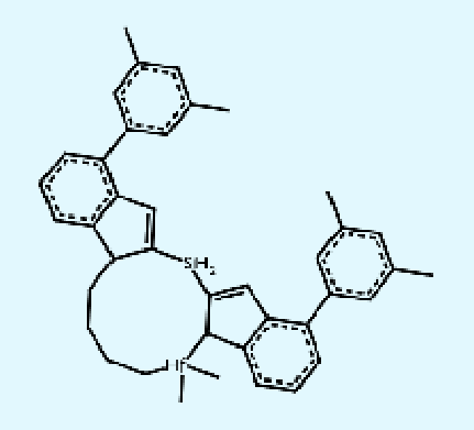 Cc1cc(C)cc(-c2cccc3c2C=C2[SiH2]C4=Cc5c(-c6cc(C)cc(C)c6)cccc5[CH]4[Hf]([CH3])([CH3])[CH2]CCCC23)c1